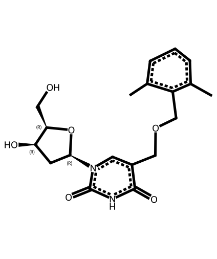 Cc1cccc(C)c1COCc1cn([C@H]2C[C@@H](O)[C@@H](CO)O2)c(=O)[nH]c1=O